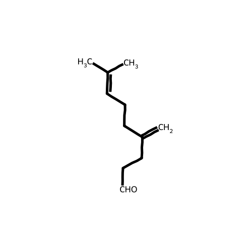 C=C(CCC=O)CCC=C(C)C